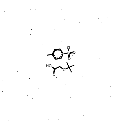 CC(C)(C)OCC(=O)O.Cc1ccc(S(=O)(=O)Cl)cc1